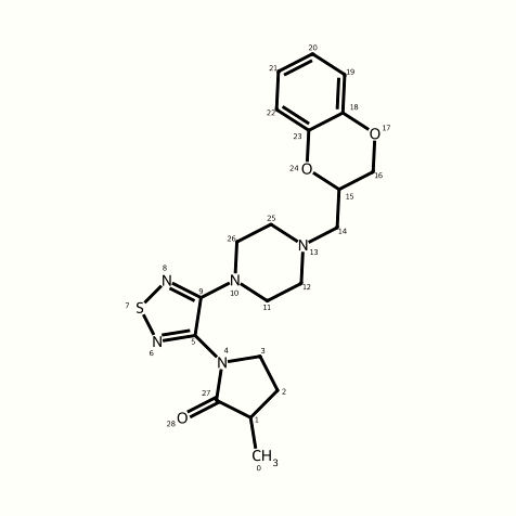 CC1CCN(c2nsnc2N2CCN(CC3COc4ccccc4O3)CC2)C1=O